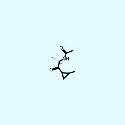 CC(=O)N[C@@H](C)C(=O)C1CC1C